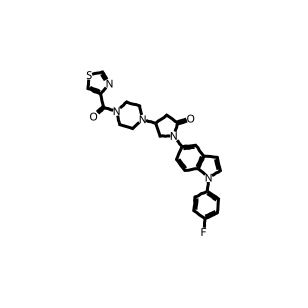 O=C(c1cscn1)N1CCN(C2CC(=O)N(c3ccc4c(ccn4-c4ccc(F)cc4)c3)C2)CC1